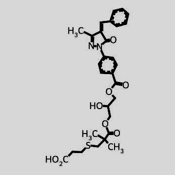 CC1=NN(c2ccc(C(=O)OCC(O)COC(=O)C(C)(C)CSCCC(=O)O)cc2)C(=O)/C1=C\c1ccccc1